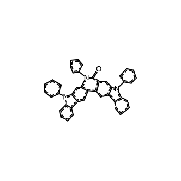 O=c1c2cc3c(cc2c2cc4c5ccccc5n(-c5ccccc5)c4cc2n1-c1ccccc1)c1ccccc1n3-c1ccccc1